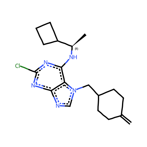 C=C1CCC(Cn2cnc3nc(Cl)nc(N[C@H](C)C4CCC4)c32)CC1